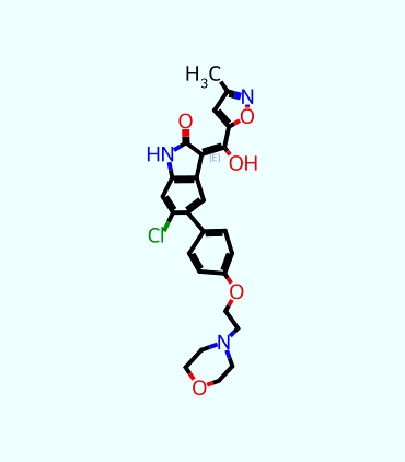 Cc1cc(/C(O)=C2\C(=O)Nc3cc(Cl)c(-c4ccc(OCCN5CCOCC5)cc4)cc32)on1